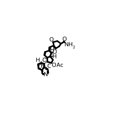 CC(=O)OC1(C)C[C@H]2[C@@H]3OC4=C(C=C3C=C[C@]2(C)[C@H]1c1cccc2cnccc12)C(=O)CC(C(N)=O)C4